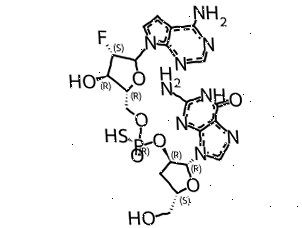 Nc1nc2c(ncn2[C@@H]2O[C@H](CO)C[C@H]2O[P@](=O)(S)OC[C@H]2OC(n3ccc4c(N)ncnc43)[C@@H](F)[C@@H]2O)c(=O)[nH]1